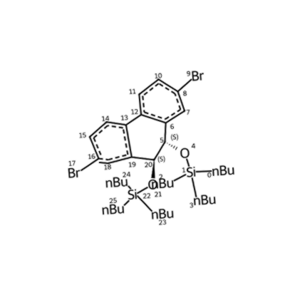 CCCC[Si](CCCC)(CCCC)O[C@H]1c2cc(Br)ccc2-c2ccc(Br)cc2[C@@H]1O[Si](CCCC)(CCCC)CCCC